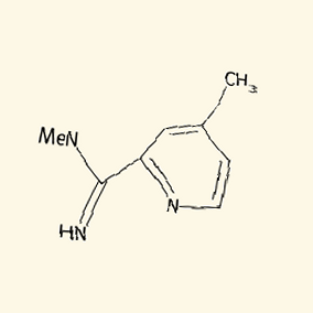 CNC(=N)c1cc(C)ccn1